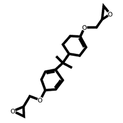 CC(C)(C1=CCC(OCC2CO2)C=C1)C1CC=C(OCC2CO2)CC1